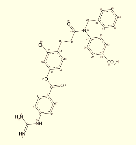 N=C(N)Nc1ccc(C(=O)Oc2ccc(CCC(=O)N(Cc3ccccc3)c3ccc(C(=O)O)cc3)c(Cl)c2)cc1